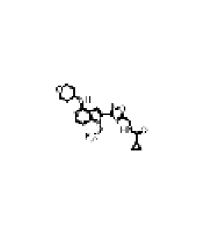 O=C(NCc1nc(-c2cc3c(NC4CCOCC4)cccc3n2CC(F)(F)F)no1)C1CC1